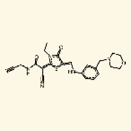 CCn1c(=C(C#N)C(=O)NCC#N)sc(=CNc2cccc(CN3CCOCC3)c2)c1=O